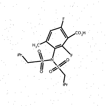 Cc1cc(F)c(C(=O)O)c(F)c1N(S(=O)(=O)CC(C)C)S(=O)(=O)CC(C)C